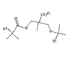 CCOC(=O)C(C)(COC(=O)C(C)(C)CC)COC(C)(C)CC